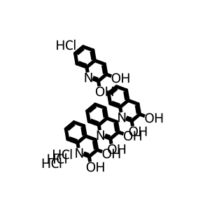 Cl.Cl.Cl.Cl.Oc1cc2ccccc2nc1O.Oc1cc2ccccc2nc1O.Oc1cc2ccccc2nc1O.Oc1cc2ccccc2nc1O